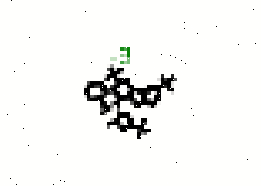 C/[C](c1ccccc1)=[Zr](\[C]1=CC(C(C)(C)C)=CC1C)[c]1cc(C(C)(C)C)cc2c1Cc1ccc(C(C)(C)C)cc1-2.Cl.Cl